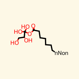 CCCCCCCCCCCCCCCC(=O)OC(O)(O)C(O)CO